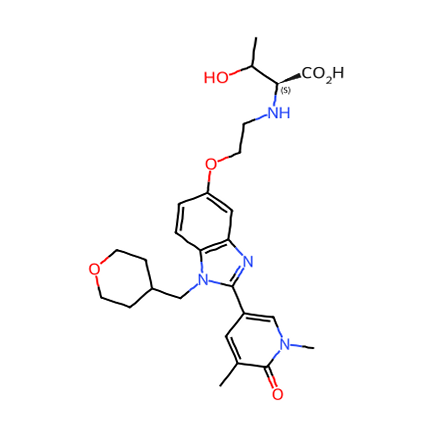 Cc1cc(-c2nc3cc(OCCN[C@H](C(=O)O)C(C)O)ccc3n2CC2CCOCC2)cn(C)c1=O